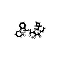 O=C(NCc1ccccc1N1CCCCS1(=O)=O)c1nc2n(c(=O)c1O)CCOC21CCC1